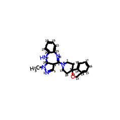 CN1N=CC2C(N3CCC4(CC3)OCc3ccccc34)=Nc3ccccc3NC21